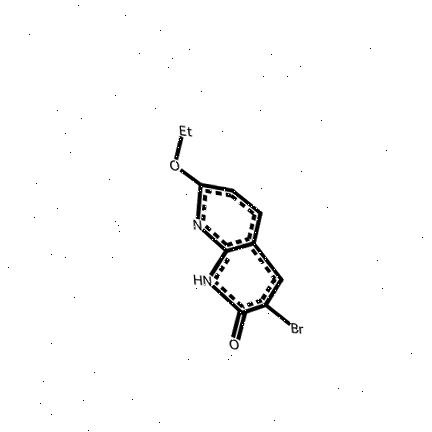 CCOc1ccc2cc(Br)c(=O)[nH]c2n1